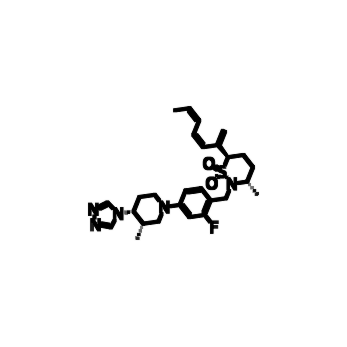 C=C(/C=C\C=C/C)[C@H]1CC[C@H](C)N(Cc2ccc(N3CC[C@@H](n4cnnc4)[C@@H](C)C3)cc2F)S1(=O)=O